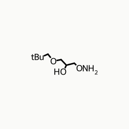 CC(C)(C)COCC(O)CON